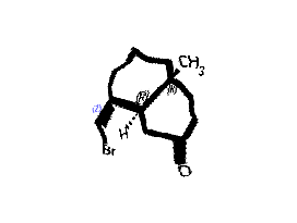 C[C@]12CCC/C(=C/Br)[C@@H]1CC(=O)CC2